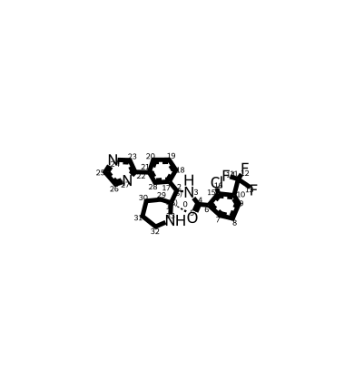 C[C@@]1([C@@H](NC(=O)c2cccc(C(F)(F)F)c2Cl)c2cccc(-c3cnccn3)c2)CCCCN1